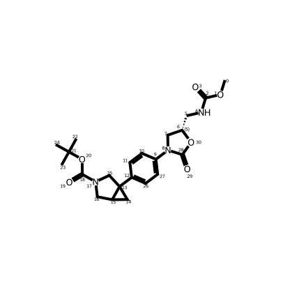 COC(=O)NC[C@H]1CN(c2ccc(C34CC3CN(C(=O)OC(C)(C)C)C4)cc2)C(=O)O1